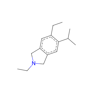 CCc1cc2c(cc1C(C)C)CN(CC)C2